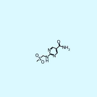 CS(=O)(=O)CNc1ncc(C(N)=O)cn1